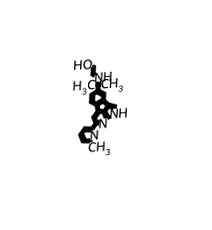 Cc1cccc(-c2cc3c4c(c[nH]c4n2)-c2cc(C(C)(C)NCCO)ccc2-3)n1